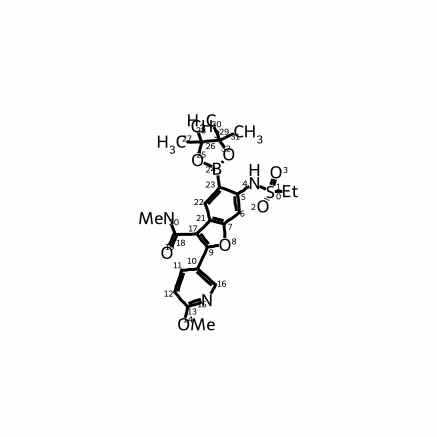 CCS(=O)(=O)Nc1cc2oc(-c3ccc(OC)nc3)c(C(=O)NC)c2cc1B1OC(C)(C)C(C)(C)O1